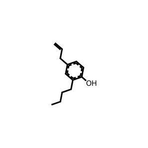 C=CCc1ccc(O)c(CCCC)c1